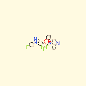 N#CCc1c(-c2ccccc2)n(CC(O)(c2ccc3c(cnn3-c3ccc(F)cc3)c2)C(F)(F)F)c2ccccc12